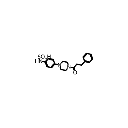 O=C(CCc1ccccc1)N1CCN(c2ccc(NS(=O)(=O)O)cc2)CC1